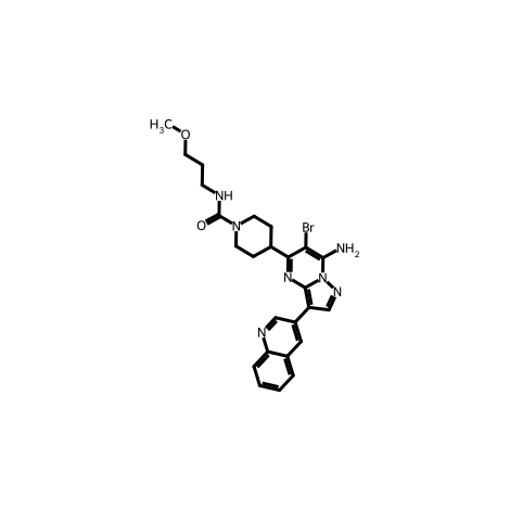 COCCCNC(=O)N1CCC(c2nc3c(-c4cnc5ccccc5c4)cnn3c(N)c2Br)CC1